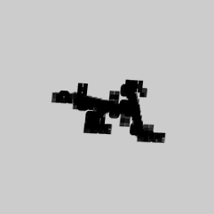 CCCCCCCCCCCNC(=O)CCCCCN(CCCCCCCC(N)=O)CCNC(=O)CCC(=O)NCCN(CCCCCCCC(=O)NC(CCCCCCCC)CCCCCCCC)CCCCCC(=O)NCCCCCCCCCCC